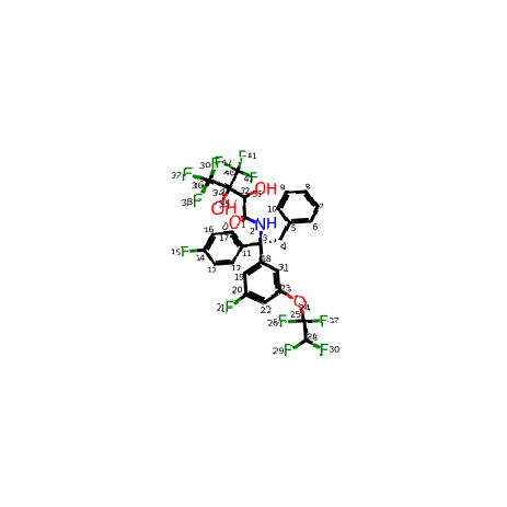 O=C(N[C@](Cc1ccccc1)(c1ccc(F)cc1)c1cc(F)cc(OC(F)(F)C(F)F)c1)C(O)C(O)(C(F)(F)F)C(F)(F)F